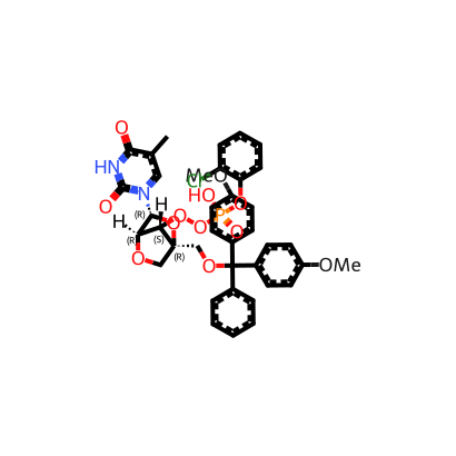 COc1ccc(C(OC[C@@]23CO[C@@H]([C@H](n4cc(C)c(=O)[nH]c4=O)O2)[C@@H]3OOP(=O)(O)Oc2ccccc2Cl)(c2ccccc2)c2ccc(OC)cc2)cc1